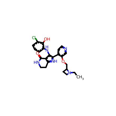 CCN1CCC1COc1cnccc1-c1[nH]c2c(c1Nc1cccc(Cl)c1O)C(=O)NCC2